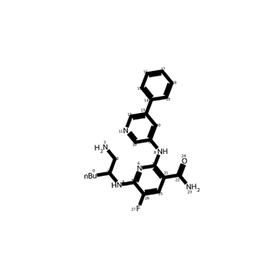 CCCCC(CN)Nc1nc(Nc2cncc(-c3ccccc3)c2)c(C(N)=O)cc1F